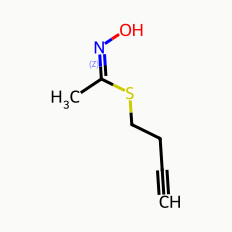 C#CCCS/C(C)=N\O